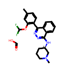 Cc1ccc(-c2nnc(N[C@@H]3CCCN(C)C3)c3ccccc23)c(OC(F)F)c1.O=CO